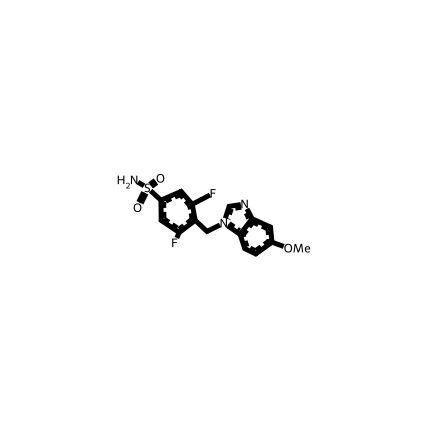 COc1ccc2c(c1)ncn2Cc1c(F)cc(S(N)(=O)=O)cc1F